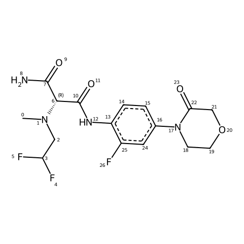 CN(CC(F)F)[C@H](C(N)=O)C(=O)Nc1ccc(N2CCOCC2=O)cc1F